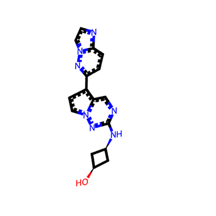 O[C@H]1C[C@@H](Nc2ncc3c(-c4ccc5nccn5n4)ccn3n2)C1